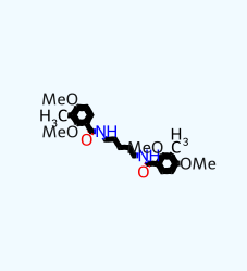 COc1ccc(C(=O)NCCCCCNC(=O)c2ccc(OC)c(C)c2OC)c(OC)c1C